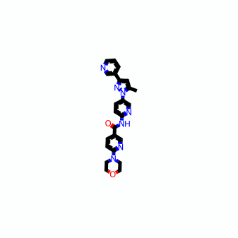 Cc1cc(-c2cccnc2)nn1-c1ccc(NC(=O)c2ccc(N3CCOCC3)nc2)nc1